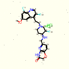 COc1cc(F)c2ncc(F)c(CCN3CCC(NCc4ccc5c(n4)NC(=O)CO5)C(F)C3)c2c1.Cl.Cl